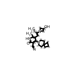 C=N/C(=C\c1c(C)[nH]c(=O)c(C#N)c1N1CCC2(CCC2)CC1)N1CC(O)C1